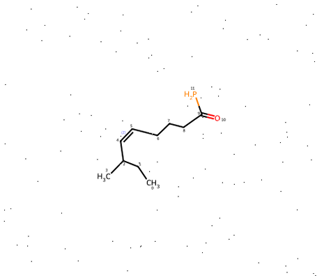 CCC(C)/C=C\CCCC(=O)P